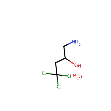 NCC(O)CC(Cl)(Cl)Cl.O